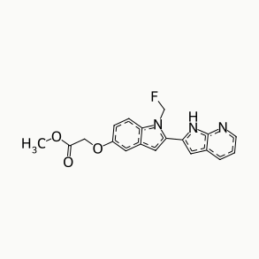 COC(=O)COc1ccc2c(c1)cc(-c1cc3cccnc3[nH]1)n2CF